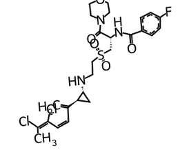 C=C(/C=C\C(Cl)=C(/C)Cl)[C@@H]1C[C@H]1NCCS(=O)(=O)C[C@@H](NC(=O)c1ccc(F)cc1)C(=O)N1CCOCC1